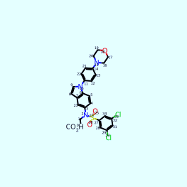 O=C(O)CN(c1ccc2c(ccn2-c2ccc(N3CCOCC3)cc2)c1)S(=O)(=O)c1cc(Cl)cc(Cl)c1